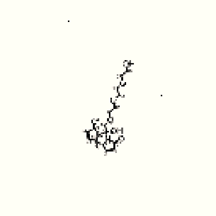 O=C1C=CC(=O)N1C(O)(COCCOCCOCCO)N1C(=O)C=CC1=O